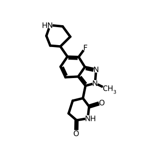 Cn1nc2c(F)c(C3CCNCC3)ccc2c1C1CCC(=O)NC1=O